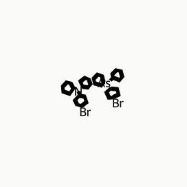 Brc1ccc(N(c2ccccc2)c2ccccc2)cc1.Brc1ccc([As](c2ccccc2)c2ccccc2)cc1